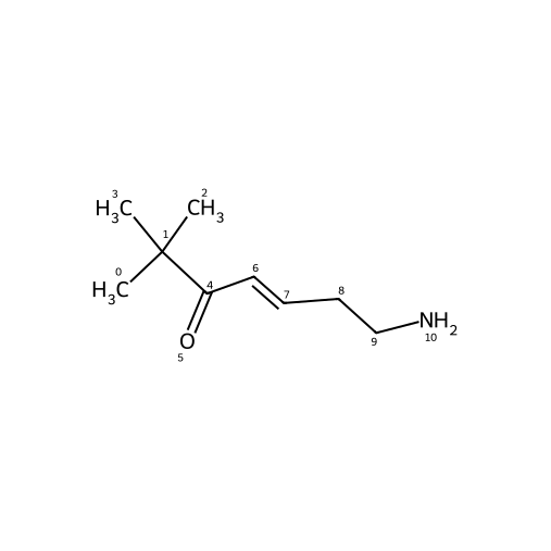 CC(C)(C)C(=O)/C=C/CCN